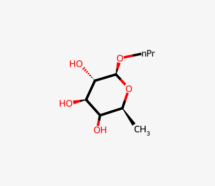 CCCO[C@H]1O[C@@H](C)C(O)[C@@H](O)[C@@H]1O